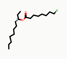 CCCCCCCC[C@@H](CC)OC(=O)CCCCCCCBr